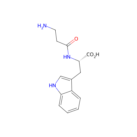 NCCC(=O)N[C@@H](Cc1c[nH]c2ccccc12)C(=O)O